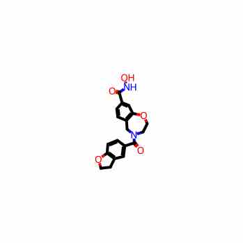 O=C(NO)c1ccc2c(c1)OCCN(C(=O)c1ccc3c(c1)CCO3)C2